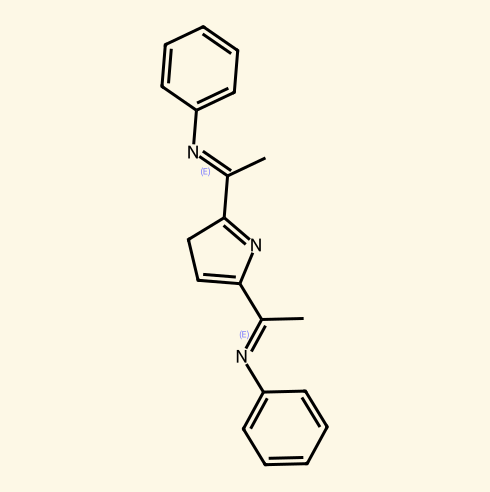 C/C(=N\c1ccccc1)C1=CCC(/C(C)=N/c2ccccc2)=N1